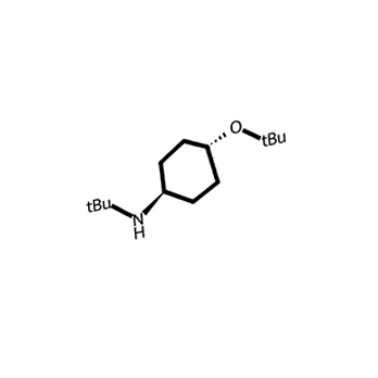 CC(C)(C)N[C@H]1CC[C@H](OC(C)(C)C)CC1